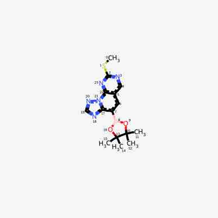 CSc1ncc2cc(B3OC(C)(C)C(C)(C)O3)c3ncnn3c2n1